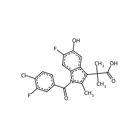 Cc1c(C(C)(C)C(=O)O)c2cc(O)c(F)cc2n1C(=O)c1ccc(Cl)c(F)c1